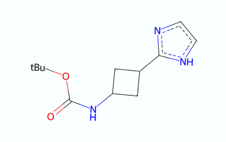 CC(C)(C)OC(=O)NC1CC(c2ncc[nH]2)C1